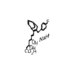 O=C(O)CC(O)CC(O)C=CC1=C(Cc2ccc(F)cc2)CC2CCC1CC2.[NaH]